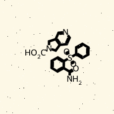 NC(=O)c1ccccc1S(=O)(=O)c1ccccc1.O=C(O)N1Cc2ccncc2C1